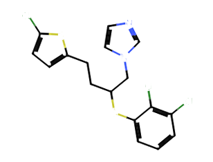 Clc1ccc(CCC(Cn2ccnc2)Sc2cccc(Cl)c2Cl)s1